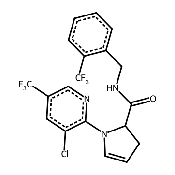 O=C(NCc1ccccc1C(F)(F)F)C1CC=CN1c1ncc(C(F)(F)F)cc1Cl